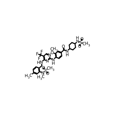 COc1cc(C(=O)NC2CCC(NS(C)(=O)=O)CC2)ccc1Nc1ncc(C(F)(F)F)c(NCc2ccc(C)cc2N(C)S(C)(=O)=O)n1